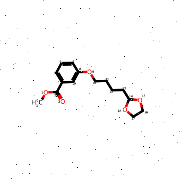 COC(=O)c1cccc(OCCCCC2OCCO2)c1